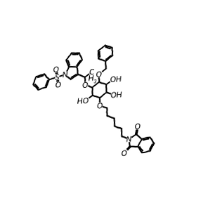 CC(OC1C(O)C(OCCCCCCN2C(=O)c3ccccc3C2=O)C(O)C(O)C1OCc1ccccc1)c1cn(S(=O)(=O)c2ccccc2)c2ccccc12